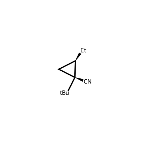 CC[C@@H]1C[C@@]1(C#N)C(C)(C)C